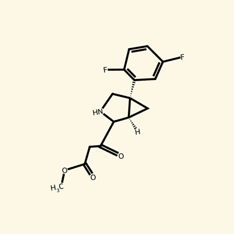 COC(=O)CC(=O)C1NC[C@@]2(c3cc(F)ccc3F)C[C@@H]12